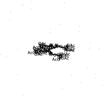 CC(=O)NC1C(OCCOCCn2cc(CN(CCCC[C@@H](C(=O)O)N(Cc3cn(CCOCCOC4OC(COC(C)=O)C(OC(C)=O)C(OC(C)=O)C4NC(C)=O)nn3)Cc3cn(CCOCCOC4OC(COC(C)=O)C(OC(C)=O)C(OC(C)=O)C4NC(C)=O)nn3)Cc3cn(CCOCCOC4OC(COC(C)=O)C(OC(C)=O)C(OC(C)=O)C4NC(C)=O)nn3)nn2)OC(COC(C)=O)C(OC(C)=O)C1OC(C)=O